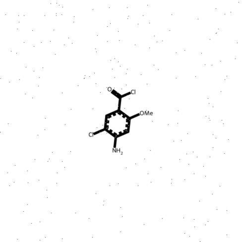 COc1cc(N)c(Cl)cc1C(=O)Cl